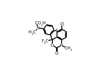 CN(C(=O)O)c1ccc(F)c(C2(C(F)(F)F)OC(=O)N(C)c3ccc(Cl)cc32)c1